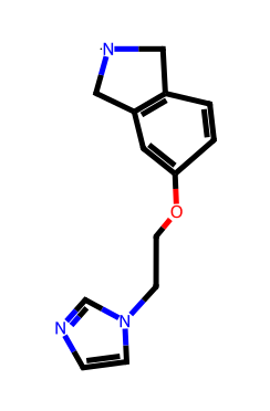 c1cn(CCOc2ccc3c(c2)C[N]C3)cn1